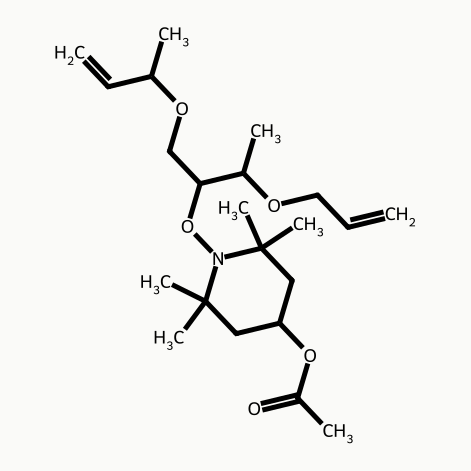 C=CCOC(C)C(COC(C)C=C)ON1C(C)(C)CC(OC(C)=O)CC1(C)C